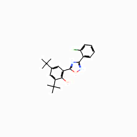 CC(C)(C)c1cc(-c2nc(-c3ccccc3Cl)no2)c(O)c(C(C)(C)C)c1